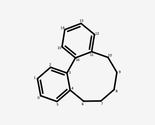 c1ccc2c(c1)CCCCCc1ccccc1-2